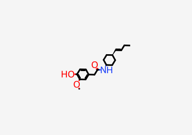 CCC=C[C@H]1CC[C@@H](NC(=O)Cc2ccc(O)c(OC)c2)CC1